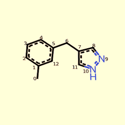 Cc1cccc(Cc2cn[nH]c2)c1